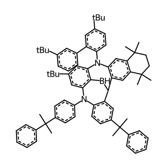 CC(C)(C)c1cccc(-c2cc(C(C)(C)C)ccc2N2c3cc4c(cc3C3Bc5c(cc(C(C)(C)C)cc52)N(c2ccc(C(C)(C)c5ccccc5)cc2)c2ccc(C(C)(C)c5ccccc5)cc23)C(C)(C)CCC4(C)C)c1